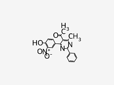 CC(=O)c1c(C)nc(-c2ccccc2)nc1-c1ccc(O)c([N+](=O)[O-])c1